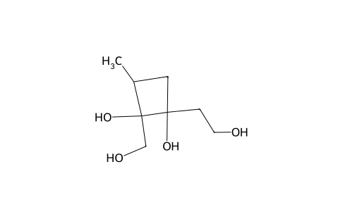 CC1CC(O)(CCO)C1(O)CO